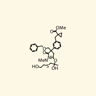 CNNC(=O)C(CCOC(C)(O)CSCCO)(COCc1ccccc1)c1cccc(CC2(C(=O)OC)CC2)c1